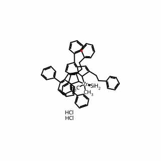 Cl.Cl.[CH3][Zr]([CH3])(=[SiH2])([CH]1C(CCc2ccccc2)=Cc2c(-c3ccccc3)ccc(-c3ccccc3)c21)[CH]1C(CCc2ccccc2)=Cc2c(-c3ccccc3)ccc(-c3ccccc3)c21